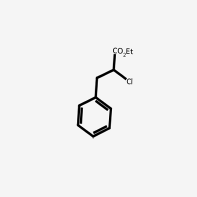 CCOC(=O)C(Cl)Cc1cc[c]cc1